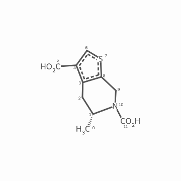 C[C@@H]1Cc2c(C(=O)O)csc2CN1C(=O)O